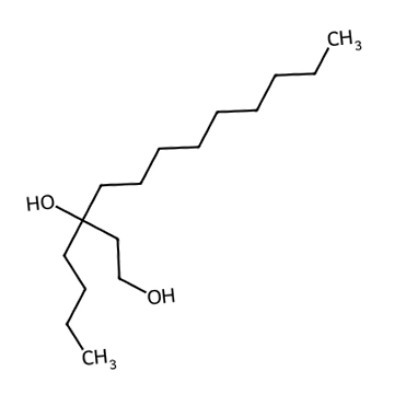 CCCCCCCCCC(O)(CCO)CCCC